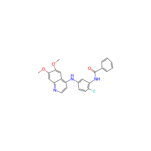 COc1cc2nccc(Nc3ccc(F)c(NC(=O)c4ccccc4)c3)c2cc1OC